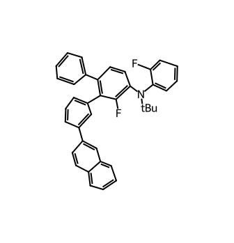 CC(C)(C)N(c1ccccc1F)c1ccc(-c2ccccc2)c(-c2cccc(-c3ccc4ccccc4c3)c2)c1F